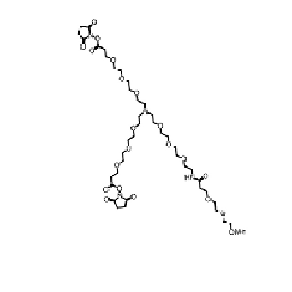 COCCOCCOCCC(=O)NCCOCCOCCOCCN(CCOCCOCCOCCC(=O)ON1C(=O)CCC1=O)CCOCCOCCOCCC(=O)ON1C(=O)CCC1=O